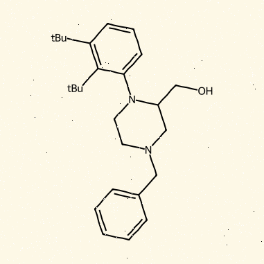 CC(C)(C)c1cccc(N2CCN(Cc3ccccc3)CC2CO)c1C(C)(C)C